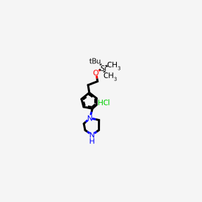 CC(C)(C)[Si](C)(C)OCCc1ccc(N2CCNCC2)cc1.Cl